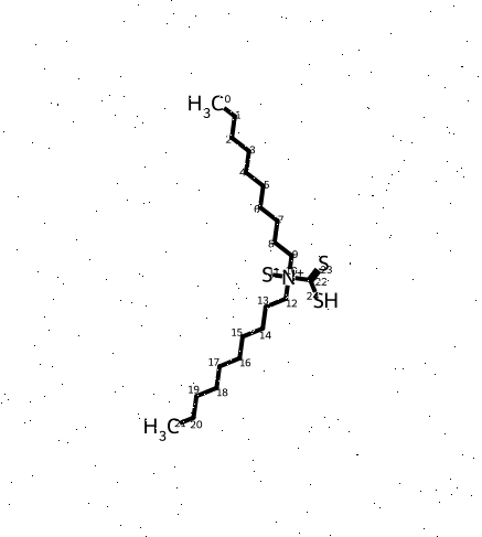 CCCCCCCCCC[N+]([S-])(CCCCCCCCCC)C(=S)S